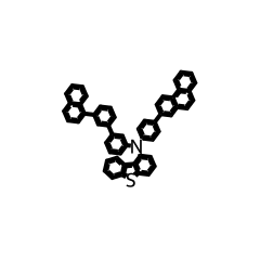 c1cc(-c2cccc(N(c3ccc(-c4ccc5c(ccc6ccccc65)c4)cc3)c3cccc4sc5ccccc5c34)c2)cc(-c2cccc3ccccc23)c1